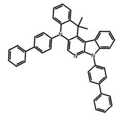 CC1(C)c2ccccc2N(c2ccc(-c3ccccc3)cc2)c2cnc3c(c21)c1ccccc1n3-c1ccc(-c2ccccc2)cc1